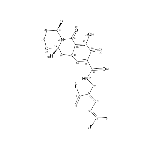 C=C(F)/C(=C\C=C(/C)F)CNC(=O)c1cn2c(c(O)c1=O)C(=O)N1[C@H](C)CCO[C@H]1C2